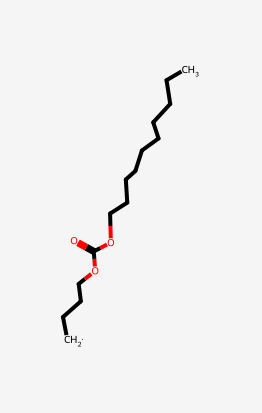 [CH2]CCCOC(=O)OCCCCCCCCCC